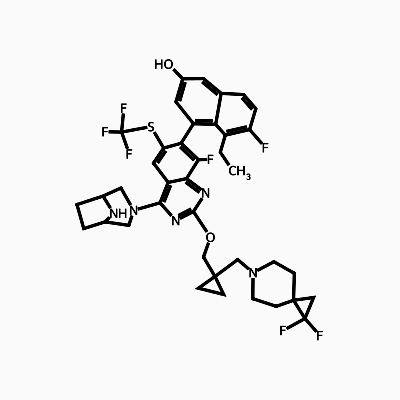 CCc1c(F)ccc2cc(O)cc(-c3c(SC(F)(F)F)cc4c(N5CC6CCC(C5)N6)nc(OCC5(CN6CCC7(CC6)CC7(F)F)CC5)nc4c3F)c12